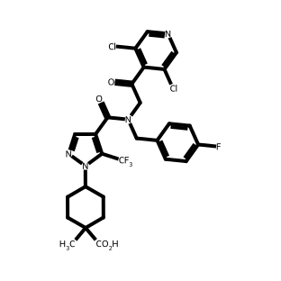 CC1(C(=O)O)CCC(n2ncc(C(=O)N(CC(=O)c3c(Cl)cncc3Cl)Cc3ccc(F)cc3)c2C(F)(F)F)CC1